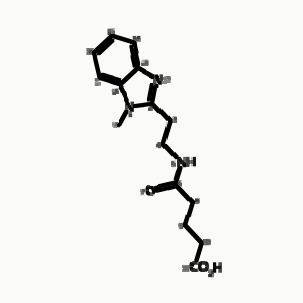 Cn1c(CCNC(=O)CCCC(=O)O)nc2ccccc21